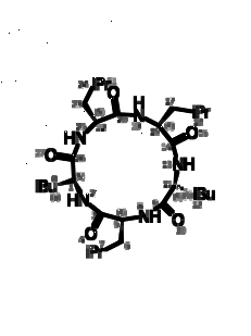 CC[C@H](C)[C@@H]1NC(=O)[C@H](CC(C)C)NC(=O)[C@H]([C@@H](C)CC)NC(=O)[C@H](CC(C)C)NC(=O)[C@H](CC(C)C)NC1=O